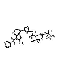 Cc1cc2c(-c3csc(NC(=O)C(NC(=O)OC(C)(C)C)C4(C(F)(F)F)CC4)n3)ccnc2n1S(=O)(=O)c1ccccc1